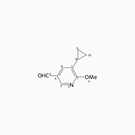 COc1ncc(C=O)cc1C1CC1